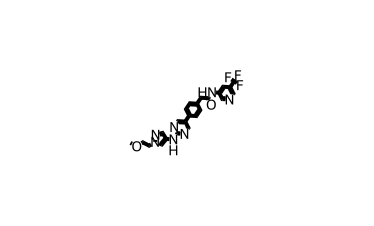 COCCn1cc(Nc2ncc(-c3ccc(CC(=O)Nc4cncc(C(F)(F)F)c4)cc3)cn2)cn1